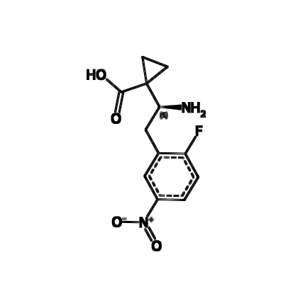 N[C@@H](Cc1cc([N+](=O)[O-])ccc1F)C1(C(=O)O)CC1